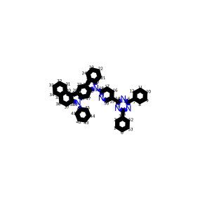 c1ccc(-c2nc(-c3ccccc3)nc(-c3ccc(-n4c5ccccc5c5cc6c7c8ccccc8ccc7n(-c7ccccc7)c6cc54)nc3)n2)cc1